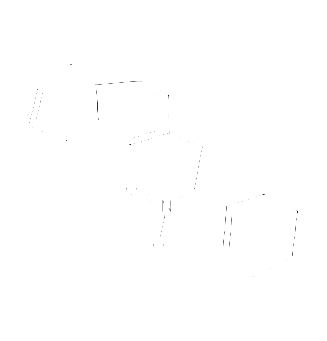 O=[N+]([O-])C([CH]c1ccc2ccccc2c1)c1ccccc1